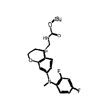 CN(c1ccc2c(c1)OCC[C@H]2CNC(=O)OC(C)(C)C)c1ccc(F)cc1F